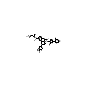 Cc1ccc(-c2ccc(NC(=O)[C@H](Cc3ccc(C(=O)NCCS(=O)(=O)O)cc3)c3ccc(C4=CCC(F)(F)CC4)cc3)c(F)c2)c(C)c1